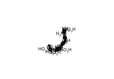 C=CS(=O)(=O)c1cc(/N=N/c2c(S(=O)(=O)O)cc3cc(S(=O)(=O)O)c(/N=N/c4ccc(S(=O)(=O)Nc5ccc(/N=N/c6cc(S(=O)(=O)O)c(N)cc6N)cc5)cc4)c(O)c3c2N)c(S(=O)(=O)O)cc1S(=O)(=O)O